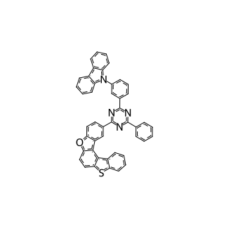 c1ccc(-c2nc(-c3cccc(-n4c5ccccc5c5ccccc54)c3)nc(-c3ccc4oc5ccc6sc7ccccc7c6c5c4c3)n2)cc1